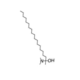 CCCCCCCCCCCCCCCCCCC(C)(O)N(C)C